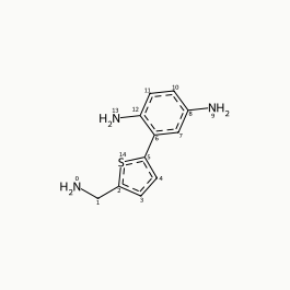 NCc1ccc(-c2cc(N)ccc2N)s1